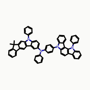 CC1(C)c2ccccc2-c2cc3c4cc(N(c5ccccc5)c5ccc(-n6c7ccccc7c7c6ccc6c8ccccc8n(-c8ccccc8)c67)cc5)ccc4n(-c4ccccc4)c3cc21